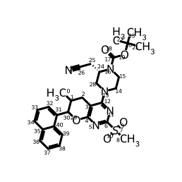 CC1Cc2c(nc(S(C)(=O)=O)nc2N2CCN(C(=O)OC(C)(C)C)[C@@H](CC#N)C2)OC1c1cccc2ccccc12